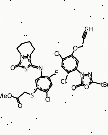 C#CCOc1cc(-n2nc(C(C)(C)C)oc2=O)c(Cl)cc1Cl.COC(=O)CSc1cc(/N=c2\sc(=O)n3n2CCCC3)c(F)cc1Cl